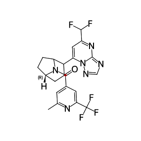 Cc1cc(C(=O)N2C3CC[C@H]2CCC3c2cc(C(F)F)nc3ncnn23)cc(C(F)(F)F)n1